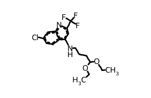 CCOC(CCCNc1cc(C(F)(F)F)nc2cc(Cl)ccc12)OCC